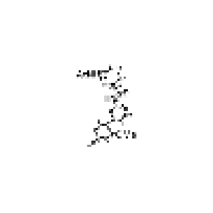 COc1cc(F)ccc1-c1ccnc(NC(=O)[C@@H]2CCC[C@@H](NC(C)=O)C2)c1